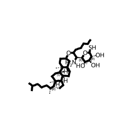 CCCCCC(OC1CC[C@@]2(C)C(=CC[C@H]3[C@@H]4CC[C@H]([C@H](C)CCCC(C)C)[C@@]4(C)CC[C@@H]32)C1)C(N)[C@H]1OC(S)[C@H](O)[C@@H](O)[C@H]1O